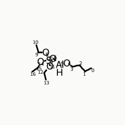 CCCC[O][AlH][O][Si](OCC)(OCC)OCC